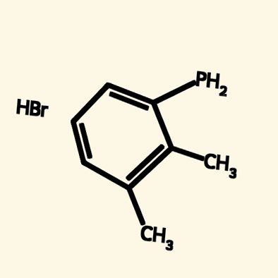 Br.Cc1cccc(P)c1C